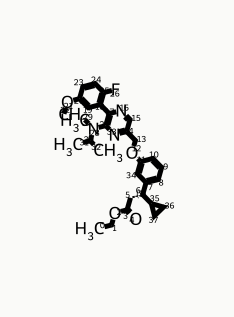 CCOC(=O)C[C@H](c1cccc(OCc2cnc(-c3cc(OC)ccc3F)c(N(C)C(C)C)n2)c1)C1CC1